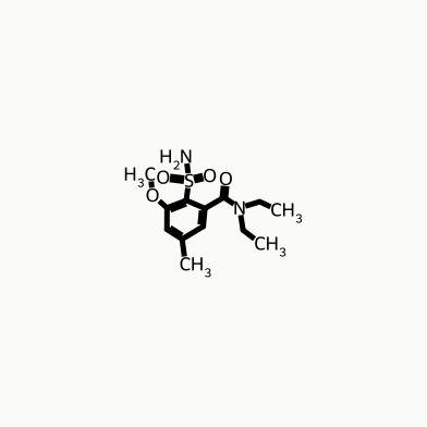 CCN(CC)C(=O)c1cc(C)cc(OC)c1S(N)(=O)=O